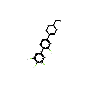 CCC1CC=C(c2ccc(-c3cc(F)c(F)c(F)c3)c(F)c2)CC1